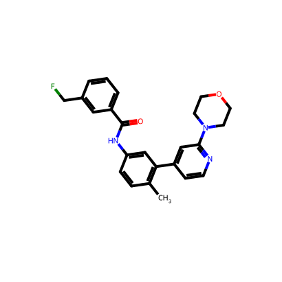 Cc1ccc(NC(=O)c2cccc(CF)c2)cc1-c1ccnc(N2CCOCC2)c1